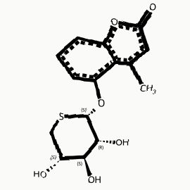 Cc1cc(=O)oc2cccc(O[C@H]3SC[C@@H](O)[C@H](O)[C@H]3O)c12